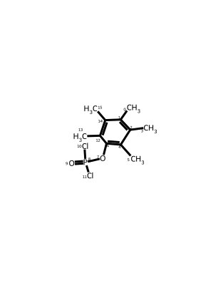 Cc1c(C)c(C)c(OP(=O)(Cl)Cl)c(C)c1C